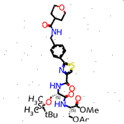 COC(=O)[C@H](COC(C)=O)NC(=O)[C@H](CO[Si](C)(C)C(C)(C)C)NC(=O)c1csc(-c2ccc(CNC(=O)C3CCOCC3)cc2)n1